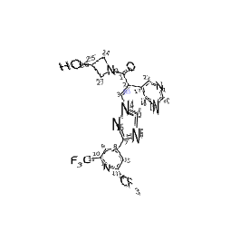 O=C(/C(=C/n1cnc(-c2cc(C(F)(F)F)nc(C(F)(F)F)c2)n1)c1cncnc1)N1CC(O)C1